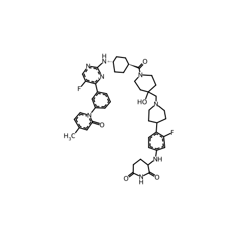 Cc1ccn(-c2cccc(-c3nc(N[C@H]4CC[C@H](C(=O)N5CCC(O)(CN6CCC(c7ccc(NC8CCC(=O)NC8=O)cc7F)CC6)CC5)CC4)ncc3F)c2)c(=O)c1